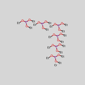 CCOP(OCC)OCC.CCOP(OCC)OCC.CCOP(OCC)OCC.CCOP(OCC)OCC.CCOP(OCC)OCC.CCOP(OCC)OCC.[Cr]